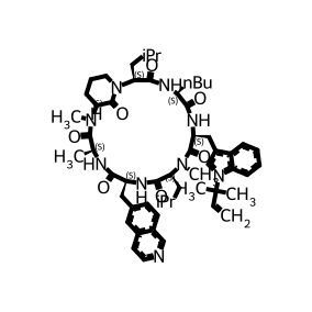 C=CC(C)(C)n1cc(C[C@@H]2NC(=O)[C@H](CCCC)NC(=O)[C@H](CC(C)C)N3CCC[C@@H](C3=O)N(C)C(=O)[C@H](C)NC(=O)[C@H](Cc3ccc4cnccc4c3)NC(=O)[C@H](CC(C)C)N(C)C2=O)c2ccccc21